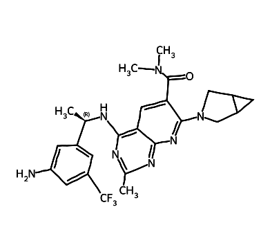 Cc1nc(N[C@H](C)c2cc(N)cc(C(F)(F)F)c2)c2cc(C(=O)N(C)C)c(N3CC4CC4C3)nc2n1